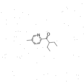 CCC(CC)C(=O)c1ccc(C)cn1